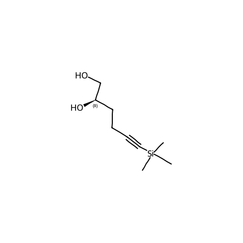 C[Si](C)(C)C#CCC[C@@H](O)CO